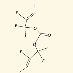 CC=C(F)C(C)(F)OC(=O)OC(C)(F)C(F)=CC